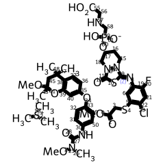 COC(=O)CSc1cc(/N=c2\sc(=O)n3n2CCCC3)c(F)cc1Cl.CON(C)C(=O)Nc1ccc(Oc2ccc3c(c2)OC(C)(OC)CC3(C)C)cc1.C[S+](C)C.O=C(O)CNCP(=O)([O-])O